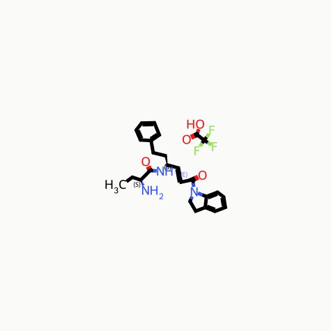 CC[C@H](N)C(=O)N[C@H](/C=C/C(=O)N1CCc2ccccc21)CCc1ccccc1.O=C(O)C(F)(F)F